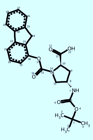 CC(C)(C)OC(=O)N[C@H]1C[C@H](C(=O)O)N(C(=O)Oc2cccc3c2Cc2ccccc2-3)C1